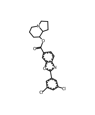 O=C(OC1CCCN2CCCC12)c1ccc2nc(-c3cc(Cl)cc(Cl)c3)oc2c1